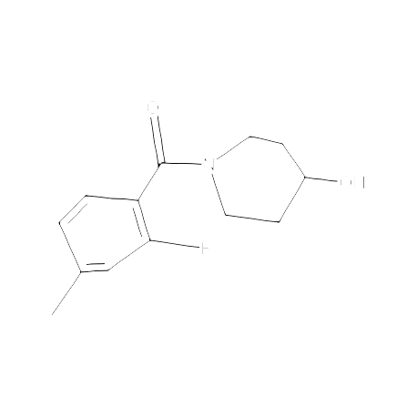 Cc1ccc(C(=O)N2CCC(O)CC2)c(F)c1